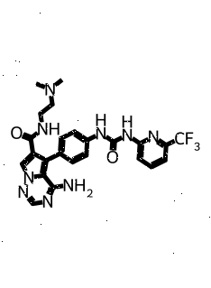 CN(C)CCNC(=O)c1cn2ncnc(N)c2c1-c1ccc(NC(=O)Nc2cccc(C(F)(F)F)n2)cc1